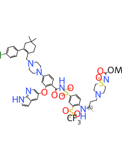 COC(=O)N=S1(=O)CCN(CC[C@H](C)Nc2ccc(S(=O)(=O)NC(=O)c3ccc(N4CCN(CC5=C(c6ccc(Cl)cc6)CC(C)(C)CC5)CC4)cc3Oc3cnc4[nH]ccc4c3)cc2S(=O)(=O)C(F)(F)F)CC1